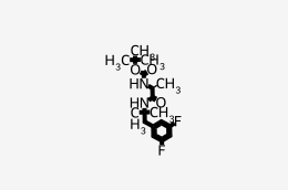 C[C@@H](NC(=O)OC(C)(C)C)C(=O)NC(C)(C)Cc1cc(F)cc(F)c1